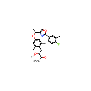 CCO[C@@H](Cc1c(C)cc(O[C@@H](C)c2coc(-c3ccc(F)c(C)c3)n2)cc1C)C(=O)OC